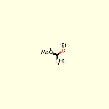 CCOC([C]=O)OC